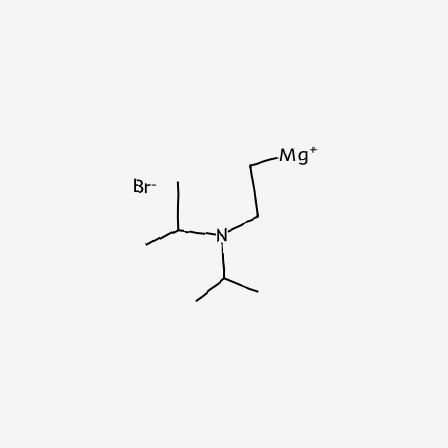 CC(C)N(C[CH2][Mg+])C(C)C.[Br-]